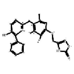 Cc1cc(OCc2noc(=O)[nH]2)c(F)c(C)c1Cc1ccc(O)c(-c2ccccc2)n1